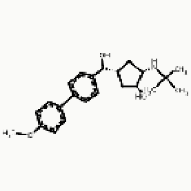 COc1ccc(-c2ccc(C(O)[C@@H]3C[C@H](NC(C)(C)C)[C@@H](O)C3)cc2)cc1